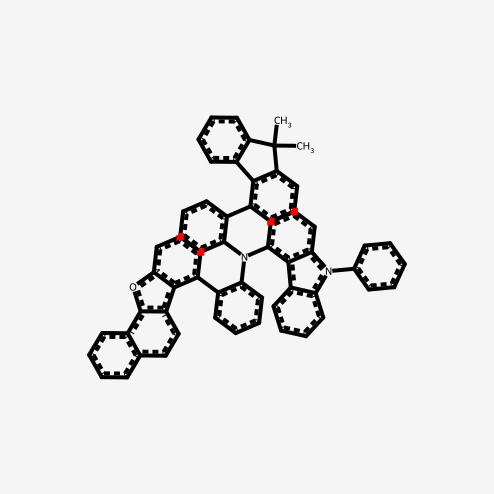 CC1(C)c2ccccc2-c2c(-c3ccccc3N(c3ccccc3-c3cccc4oc5c6ccccc6ccc5c34)c3cccc4c3c3ccccc3n4-c3ccccc3)cccc21